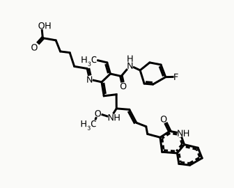 C\C=C(C(=O)NC1C=CC(F)=CC1)/C(=C\CC(/C=C/CCc1cc2ccccc2[nH]c1=O)NOC)/N=C/CCCCC(=O)O